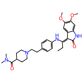 CCC(Nc1ccc(CCN2CCC(C(=O)N(C)C)CC2)cc1)=C1C(=O)Nc2cc(OC)c(OC)cc21